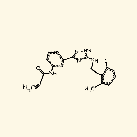 C=CC(=O)Nc1cccc(-c2n[nH]c(NCc3c(C)cccc3Cl)n2)c1